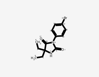 CCC1(CC)NC(=O)N(c2ccc(Br)cc2)C1=O